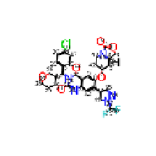 O=C1OC[C@@H]2C[C@@H](Oc3cc4c(=O)n(Cc5ccc(Cl)cc5)c(OC5CCOCC5)nc4cc3-c3cnn(C(F)F)c3)CCN12